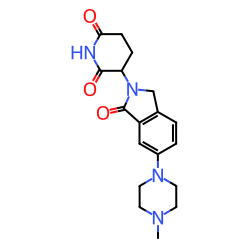 CN1CCN(c2ccc3c(c2)C(=O)N(C2CCC(=O)NC2=O)C3)CC1